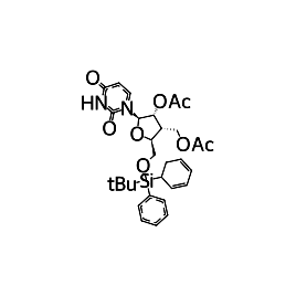 CC(=O)OC[C@H]1[C@@H](OC(C)=O)[C@H](n2ccc(=O)[nH]c2=O)O[C@@H]1CO[Si](c1ccccc1)(C1C=CC=CC1)C(C)(C)C